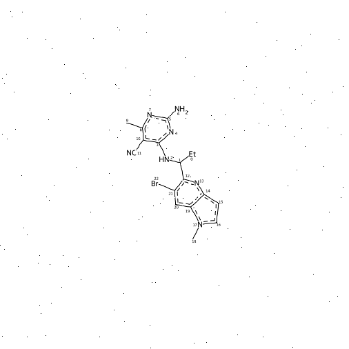 CCC(Nc1nc(N)nc(C)c1C#N)c1nc2ccn(C)c2cc1Br